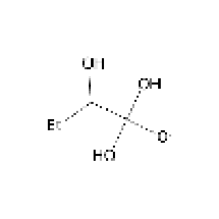 CCC(O)C([O])(O)O